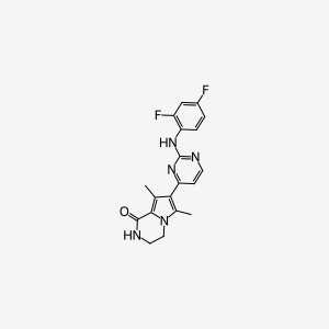 Cc1c(-c2ccnc(Nc3ccc(F)cc3F)n2)c(C)n2c1C(=O)NCC2